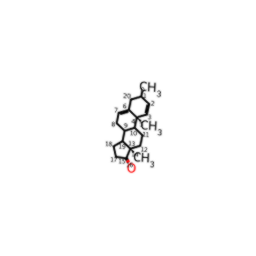 CC1C=C[C@@]2(C)C(=CCC3C2CC[C@]2(C)C(=O)CCC32)C1